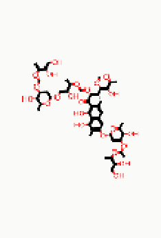 CO[C@@H]([C@@H]1Cc2cc3cc(O[C@H]4CC(OC(C)OC(C)[C@@H](O)CO)[C@H](O)C(C)O4)c(C)c(O)c3c(O)c2C(=O)[C@H]1OCOC(C)[C@@H](O)CO[C@H]1CC(OCOC(C)[C@@H](O)CO)[C@@H](O)C(C)O1)[C@@H](O)C(C)=O